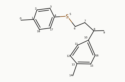 Cc1ccc(SCCC(C)c2ccc(C)cc2)cc1